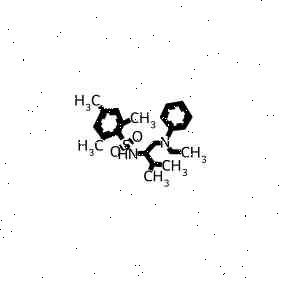 CCN(CC(NS(=O)(=O)c1c(C)cc(C)cc1C)C(C)C)c1ccccc1